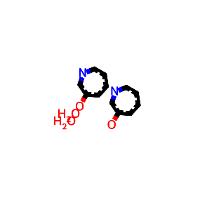 O.O.O=c1ccccnc1.O=c1ccccnc1